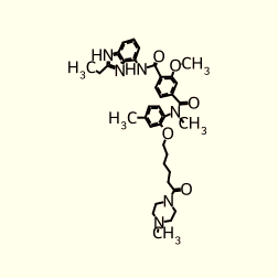 CCc1nc2c(NC(=O)c3ccc(C(=O)N(C)c4ccc(C)cc4OCCCCCC(=O)N4CCN(C)CC4)cc3OC)cccc2[nH]1